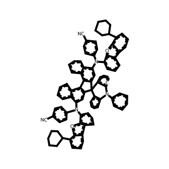 N#Cc1ccc(N(c2cc3c(c4ccccc24)-c2c(cc(N(c4ccc(C#N)cc4)c4cccc5c4oc4c(C6CCCCC6)cccc45)c4ccccc24)C32c3ccccc3N(c3ccccc3)c3ccccc32)c2cccc3c2oc2c(C4CCCCC4)cccc23)cc1